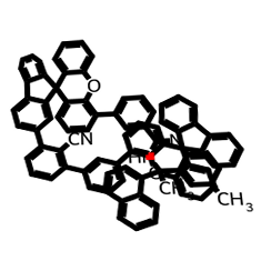 CC1C=C2C(=CC1)N=C(c1cccc(-c3cccc4c3Oc3ccccc3C43c4ccccc4-c4ccc(-c5cccc(-c6cccc(-c7cccc8c7OC7=CCCC=C7C87c8ccccc8-c8ccccc87)c6)c5C#N)cc43)c1)NC2(C)c1cccc2ccccc12